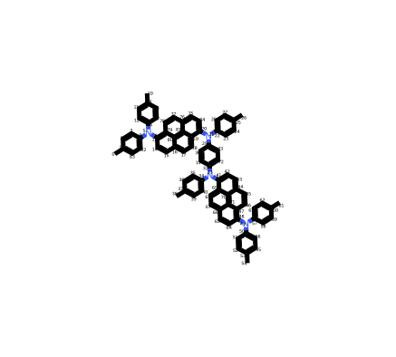 Cc1ccc(N(c2ccc(C)cc2)c2ccc3ccc4c(N(c5ccc(C)cc5)c5ccc(N(c6ccc(C)cc6)c6ccc7ccc8c(N(c9ccc(C)cc9)c9ccc(C)cc9)ccc9ccc6c7c98)cc5)ccc5ccc2c3c54)cc1